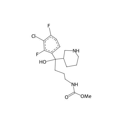 COC(=O)NCCCC(O)(c1ccc(F)c(Cl)c1F)C1CCCNC1